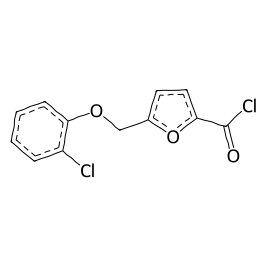 O=C(Cl)c1ccc(COc2ccccc2Cl)o1